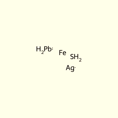 S.[Ag].[Fe].[PbH2]